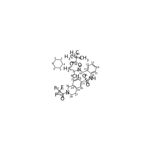 C1CCCCC1.CC(C)N(Cc1ccccc1NS(=O)(=O)c1ccc2c(c1)CCN(C(=O)C(F)(F)F)C2)OC(=O)C(C)(C)C